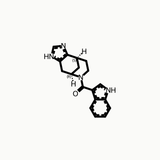 O=C(c1c[nH]c2ccccc12)N1CC[C@H]2C[C@@H]1Cc1[nH]cnc12